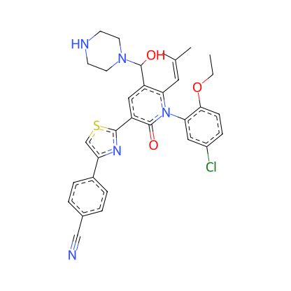 CCOc1ccc(Cl)cc1-n1c(C=C(C)C)c(C(O)N2CCNCC2)cc(-c2nc(-c3ccc(C#N)cc3)cs2)c1=O